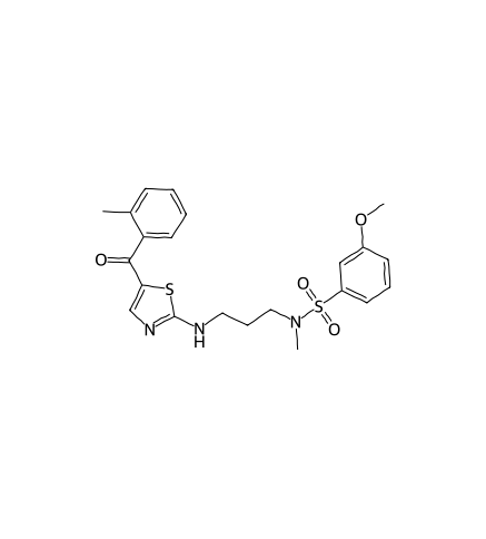 COc1cccc(S(=O)(=O)N(C)CCCNc2ncc(C(=O)c3ccccc3C)s2)c1